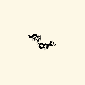 CCc1ccc2nnc(Sc3ccc4ncc(-c5cnn(C)c5)cc4c3)n2n1